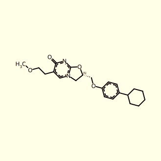 COCCc1cn2c(nc1=O)O[C@H](COc1ccc(C3CCCCC3)cc1)C2